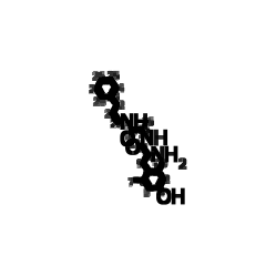 Cc1cc(O)cc(C)c1C[C@@H](N)C(=O)N[C@H](C)C(=O)N/C=C\Cc1ccccc1